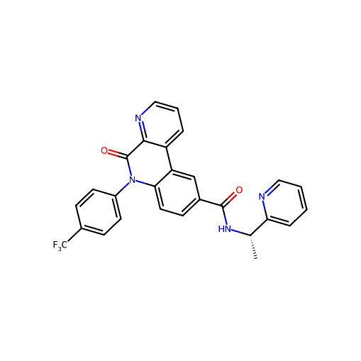 C[C@H](NC(=O)c1ccc2c(c1)c1cccnc1c(=O)n2-c1ccc(C(F)(F)F)cc1)c1ccccn1